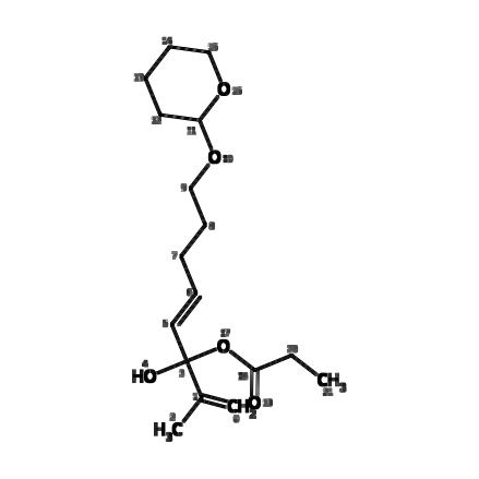 C=C(C)C(O)(/C=C/CCCOC1CCCCO1)OC(=O)CC